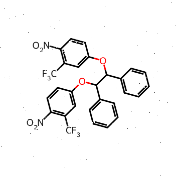 O=[N+]([O-])c1ccc(OC(c2ccccc2)C(Oc2ccc([N+](=O)[O-])c(C(F)(F)F)c2)c2ccccc2)cc1C(F)(F)F